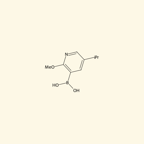 COc1ncc(C(C)C)cc1B(O)O